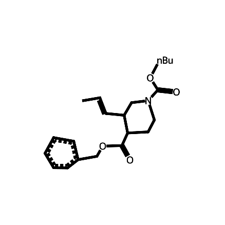 CC=CC1CN(C(=O)OCCCC)CCC1C(=O)OCc1ccccc1